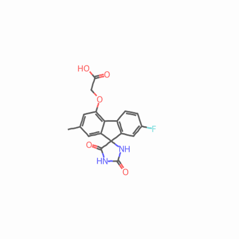 Cc1cc(OCC(=O)O)c2c(c1)C1(NC(=O)NC1=O)c1cc(F)ccc1-2